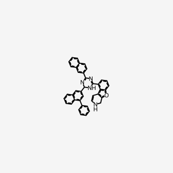 C1=Cc2c(oc3cccc(C4=NC(c5ccc6ccccc6c5)=NC(c5cc(-c6ccccc6)c6ccccc6c5)N4)c23)CN1